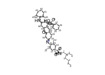 CCCCC(CC)CNS(=O)(=O)c1cc(C)c(/N=c2\ccc3c(-c4ccccc4S(=O)(=O)O)c4ccc(Nc5c(C)cccc5C)cc4oc-3c2)c(C)c1